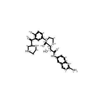 Nc1ncc2cc(NC(=O)[C@H](O)[C@H]3OCCN(c4ccc(F)c(C(=O)C5CNCCO5)c4)C3=O)ccc2n1